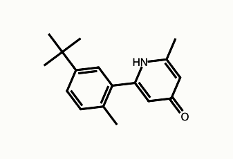 Cc1cc(=O)cc(-c2cc(C(C)(C)C)ccc2C)[nH]1